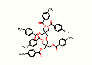 COc1ccc(C(=O)OCC(COCC(COC(=O)c2ccc(C)cc2)(COC(=O)c2ccc(C)cc2)COC(=O)c2ccc(C)cc2)(COC(=O)c2ccc(OC)cc2)COC(=O)c2ccc(OC)cc2)cc1